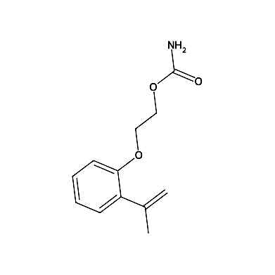 C=C(C)c1ccccc1OCCOC(N)=O